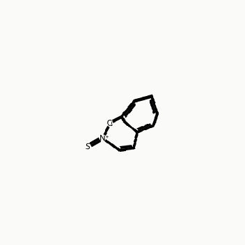 S=[n+]1ccc2ccccc2o1